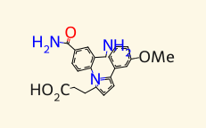 COc1cccc(-c2ccc(CCC(=O)O)n2-c2ccc(C(N)=O)cc2CN)c1